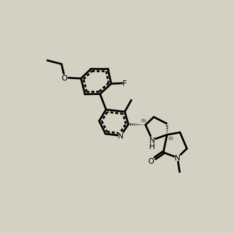 CCOc1ccc(F)c(-c2ccnc([C@@H]3CC[C@@]4(CCN(C)C4=O)N3)c2C)c1